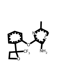 Cc1ccc(N)c(Oc2ccccc2C2(C(F)(F)F)CCO2)n1